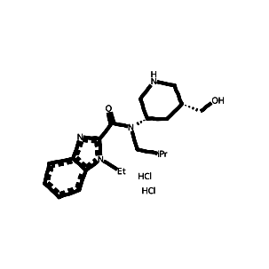 CCn1c(C(=O)N(CC(C)C)[C@@H]2CNC[C@H](CO)C2)nc2ccccc21.Cl.Cl